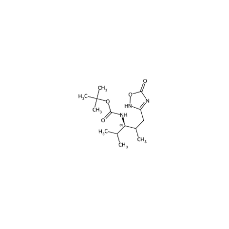 CC(C)[C@@H](NC(=O)OC(C)(C)C)C(C)Cc1nc(=O)o[nH]1